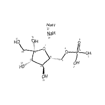 O=P(O)(O)OC[C@H]1O[C@](O)(CO)[C@@H](O)[C@@H]1O.[NaH].[NaH]